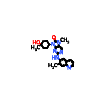 Cc1cc2ncccc2cc1Nc1ncc2c(n1)n([C@H]1CC[C@](C)(O)CC1)c(=O)n2C